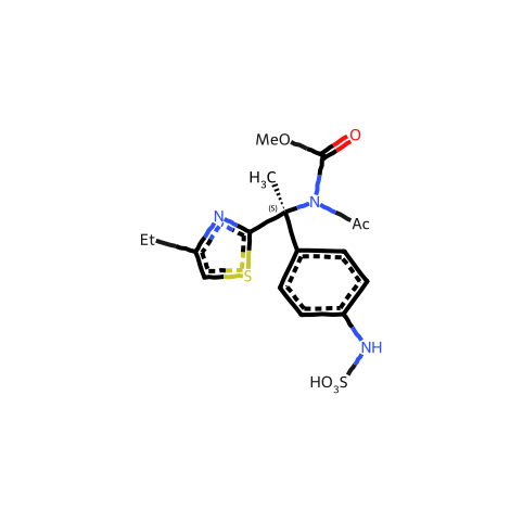 CCc1csc([C@](C)(c2ccc(NS(=O)(=O)O)cc2)N(C(C)=O)C(=O)OC)n1